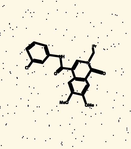 COc1cc2c(C(=O)Nc3cccc(Cl)c3)cn(CC(C)C)c(=O)c2cc1OC